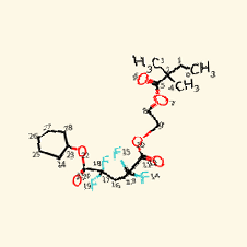 CCC(C)(C)C(=O)OCCOC(=O)C(F)(F)CC(F)(F)C(=O)OC1CCCCC1